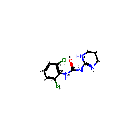 O=C(NC1=NCCCN1)Nc1c(Cl)cccc1Br